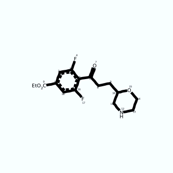 CCOC(=O)c1cc(F)c(C(=O)CCC2CNCCO2)c(F)c1